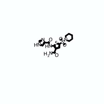 NC(=O)c1cc(S(=O)(=O)N2CCCCC2)sc1NC(=O)c1c[nH]cn1